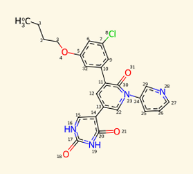 CCCCOc1cc(Cl)cc(-c2cc(-c3c[nH]c(=O)[nH]c3=O)cn(-c3cccnc3)c2=O)c1